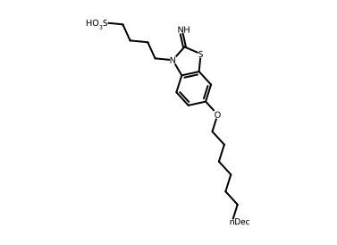 CCCCCCCCCCCCCCCCOc1ccc2c(c1)sc(=N)n2CCCCS(=O)(=O)O